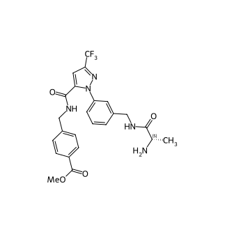 COC(=O)c1ccc(CNC(=O)c2cc(C(F)(F)F)nn2-c2cccc(CNC(=O)[C@H](C)N)c2)cc1